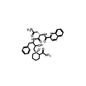 NC(=O)C[C@H](NC(=O)c1ccc2ccccc2n1)C(=O)NC(Cc1ccccc1)C(O)C[N+]1([O-])CCCCC1C(N)=O